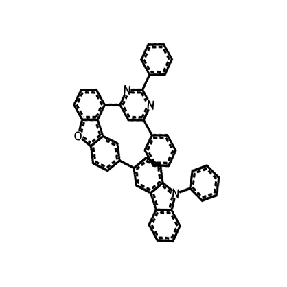 c1ccc(-c2cc(-c3cccc4oc5ccc(-c6ccc7c(c6)c6ccccc6n7-c6ccccc6)cc5c34)nc(-c3ccccc3)n2)cc1